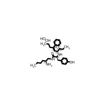 CCCC[C@H](N)CNC(=O)[C@H](Cc1ccc(O)cc1)N[C@H](/C=C(/CCC)c1ccccc1)[C@@H](C)CC.Cl.Cl